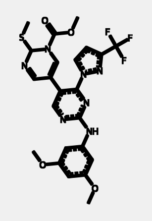 COC(=O)N1C=C(c2cnc(Nc3cc(OC)cc(OC)c3)nc2-n2ccc(C(F)(F)F)n2)C=NC1SC